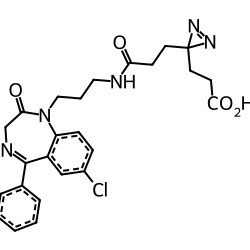 O=C(O)CCC1(CCC(=O)NCCCN2C(=O)CN=C(c3ccccc3)c3cc(Cl)ccc32)N=N1